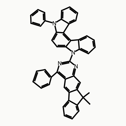 CC1(C)c2ccccc2-c2cc3c(-c4ccccc4)nc(-n4c5ccccc5c5c6c7ccccc7n(-c7ccccc7)c6ccc54)nc3cc21